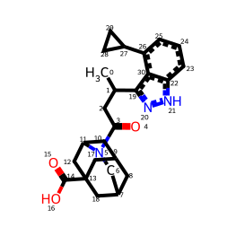 CC(CC(=O)N1CC2CC3CC1CC(C(=O)O)(C3)C2)c1n[nH]c2cccc(C3CC3)c12